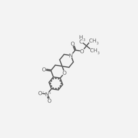 CC(C)(C)OC(=O)N1CCC2(CC1)CC(=O)c1cc([N+](=O)[O-])ccc1O2